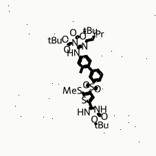 CSc1sc(C(=N)NC(=O)OC(C)(C)C)cc1S(=O)(=O)c1cccc(-c2ccc(NC(=NCCC(C)C)N(C(=O)OC(C)(C)C)C(=O)OC(C)(C)C)cc2C)c1